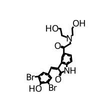 O=C1Nc2ccc(C(=O)CN(CCO)CCO)cc2C1=Cc1cc(Br)c(O)c(Br)c1